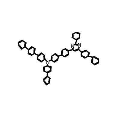 c1ccc(-c2ccc(-c3ccc(N(c4ccc(-c5ccccc5)cc4)c4ccc(-c5ccc(-c6cc(-c7ccc(-c8ccccc8)cc7)nc(-c7ccccc7)n6)cc5)cc4)cc3)cc2)cc1